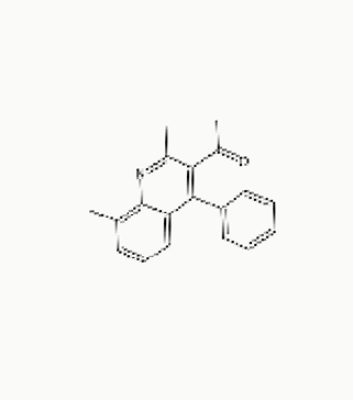 CC(=O)c1c(C)nc2c(C)cccc2c1-c1ccccc1